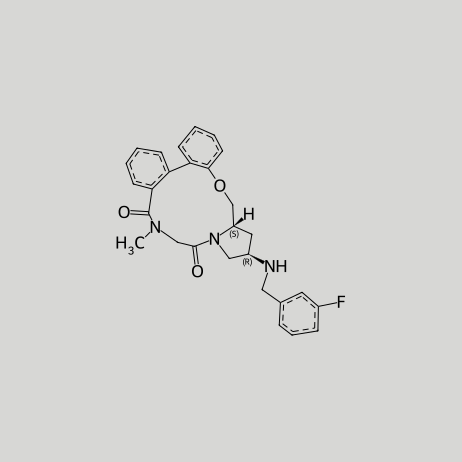 CN1CC(=O)N2C[C@H](NCc3cccc(F)c3)C[C@H]2COc2ccccc2-c2ccccc2C1=O